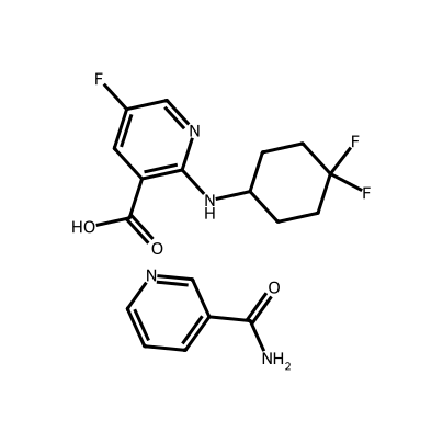 NC(=O)c1cccnc1.O=C(O)c1cc(F)cnc1NC1CCC(F)(F)CC1